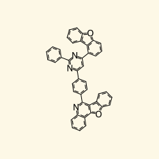 c1ccc(-c2nc(-c3ccc(-c4nc5ccccc5c5oc6ccccc6c45)cc3)cc(-c3cccc4oc5ccccc5c34)n2)cc1